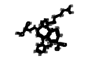 COC(=O)CC[C@@H]1N=C(c2ccccc2F)c2cc([N+](=O)[O-])ccc2-n2c(SCCCN(C)C)nnc21